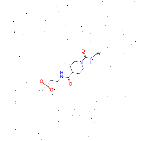 CC(C)NC(=O)N1CCC(C(=O)NCCS(C)(=O)=O)CC1